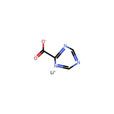 O=C([O-])c1ncncn1.[Li+]